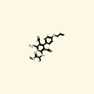 C=CCOc1ccc(-c2c(C#N)c(N)nc(SC(C)C(=O)OC)c2C#N)cc1